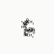 Cc1ccnc([C@H]2C[C@@H]2c2cc(N(C)CC(C)(C)O)c3ccc(NCc4cn5cc(C6CC6)cc(N6CC(=O)N(C)C6=O)c5n4)cc3n2)n1